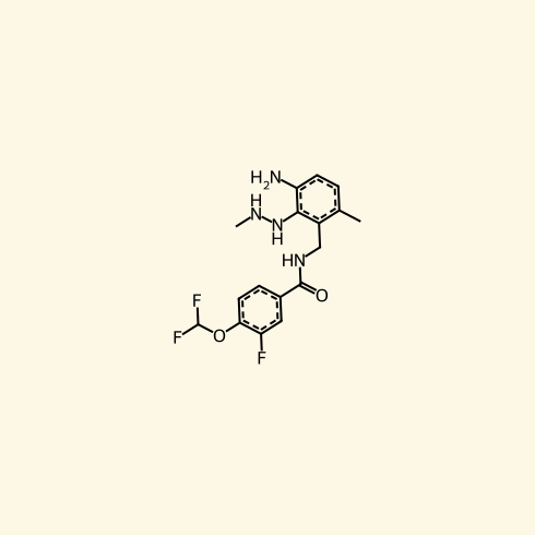 CNNc1c(N)ccc(C)c1CNC(=O)c1ccc(OC(F)F)c(F)c1